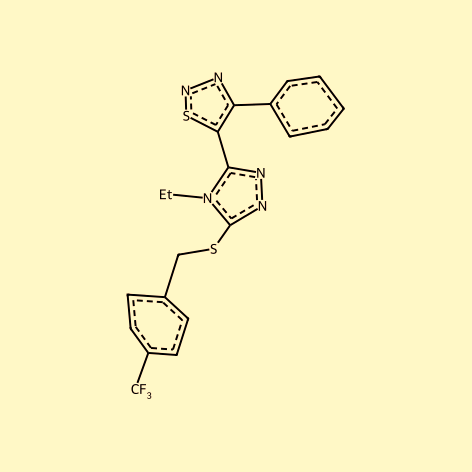 CCn1c(SCc2ccc(C(F)(F)F)cc2)nnc1-c1snnc1-c1ccccc1